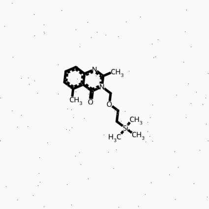 Cc1cccc2nc(C)n(COCC[Si](C)(C)C)c(=O)c12